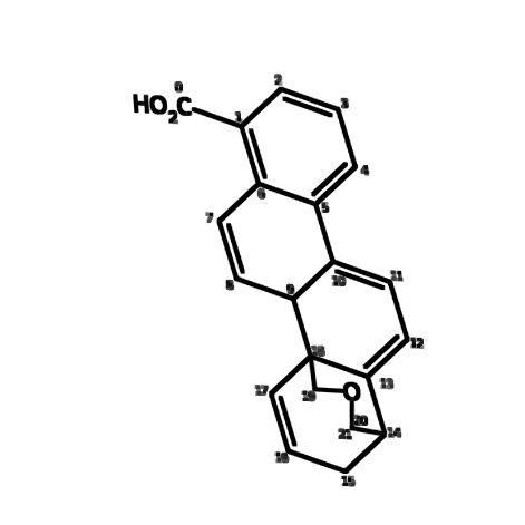 O=C(O)c1cccc2c1C=CC1C2=CC=C2C3CC=CC21COC3